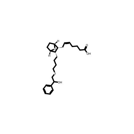 O=C(O)CCC/C=C\C[C@@H]1[C@H](CCCCSCC(O)c2ccccc2)[C@@H]2CC[C@H]1O2